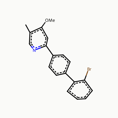 COc1cc(-c2ccc(-c3ccccc3Br)cc2)ncc1C